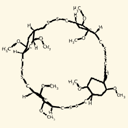 COC1C[C@@H]2CSSC[C@H]3CC(OC)[C@@H](CSSC[C@H]4CC(OC)[C@@H](CSSC[C@H]5CC(OC)[C@@H](CSSC[C@H]1CC2OC)CC5OC)C[C@H]4OC)CC3OC